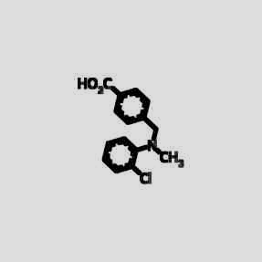 CN(Cc1ccc(C(=O)O)cc1)c1ccccc1Cl